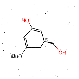 CC(C)COC1=CC(O)=C[C@@H](CO)C1